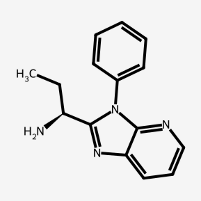 CC[C@H](N)c1nc2cccnc2n1-c1ccccc1